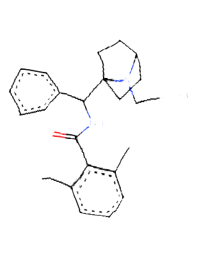 CCOC(=O)CN1C2CCC1(C(NC(=O)c1c(C)cccc1C)c1ccccc1)CC2